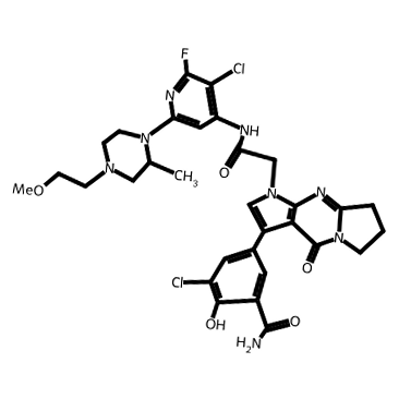 COCCN1CCN(c2cc(NC(=O)Cn3cc(-c4cc(Cl)c(O)c(C(N)=O)c4)c4c(=O)n5c(nc43)CCC5)c(Cl)c(F)n2)C(C)C1